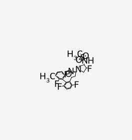 Cc1ccc(F)c(-c2c(F)ccc(F)c2C2CC(N3C[C@H](F)[C@H](NS(C)(=O)=O)C3)=NO2)c1F